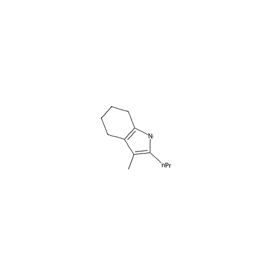 CCCC1=C(C)C2=C(CCCC2)[N]1